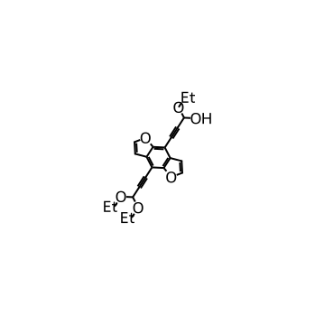 CCOC(O)C#Cc1c2ccoc2c(C#CC(OCC)OCC)c2ccoc12